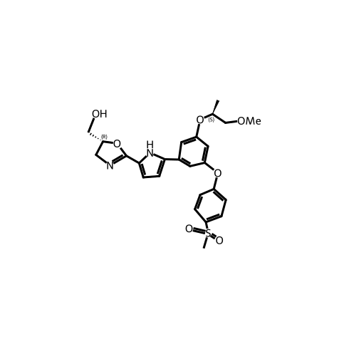 COC[C@H](C)Oc1cc(Oc2ccc(S(C)(=O)=O)cc2)cc(-c2ccc(C3=NC[C@H](CO)O3)[nH]2)c1